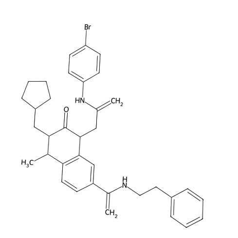 C=C(CC1C(=O)C(CC2CCCC2)C(C)c2ccc(C(=C)NCCc3ccccc3)cc21)Nc1ccc(Br)cc1